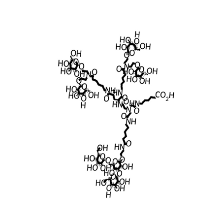 O=C(O)CCCCCNC(=O)CN(CC(=O)NCCCCCC(=O)NCCO[C@@H]1O[C@H](CO[C@H]2O[C@H](CO)[C@@H](O)[C@H](O)[C@@H]2O)[C@@H](O)[C@H](O[C@H]2O[C@H](CO)[C@@H](O)[C@H](O)[C@@H]2O)[C@@H]1O)CC(=O)N[C@@H](CCC(=O)NCCCCCC(=O)N(CCO[C@H]1O[C@H](CO)[C@@H](O)[C@H](O)[C@@H]1O)CCO[C@H]1O[C@H](CO)[C@@H](O)[C@H](O)[C@@H]1O)C(=O)NCCCCCC(=O)N(CCO[C@H]1O[C@H](CO)[C@@H](O)[C@H](O)[C@@H]1O)CCO[C@H]1O[C@H](CO)[C@@H](O)[C@H](O)[C@@H]1O